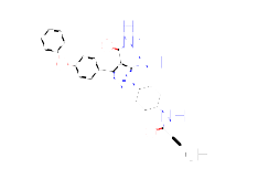 CC#CC(=O)N[C@H]1CC[C@H](n2nc(-c3ccc(Oc4ccccc4)cc3)c(C(N)=O)c2N)CC1